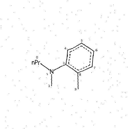 CCCN(C)c1ccccc1C